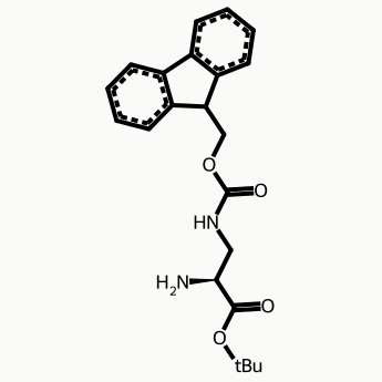 CC(C)(C)OC(=O)[C@@H](N)CNC(=O)OCC1c2ccccc2-c2ccccc21